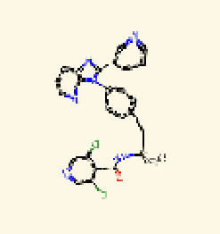 CCOC(=O)[C@H](Cc1ccc(-n2c(-c3cccnc3)nc3cccnc32)cc1)NC(=O)c1c(Cl)cncc1Cl